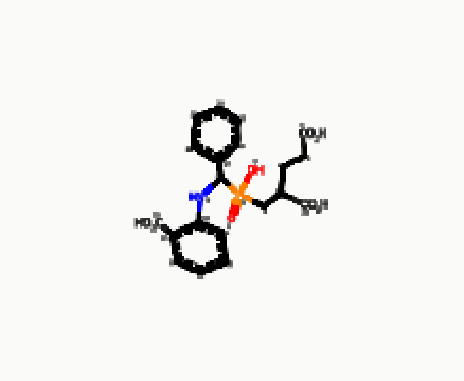 O=C(O)CCC(CP(=O)(O)C(Nc1ccccc1C(=O)O)c1ccccc1)C(=O)O